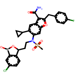 CS(=O)(=O)N(CCC1OB(O)c2cc(Cl)ccc21)c1cc2oc(Cc3ccc(F)cc3)c(C(N)=O)c2cc1C1CC1